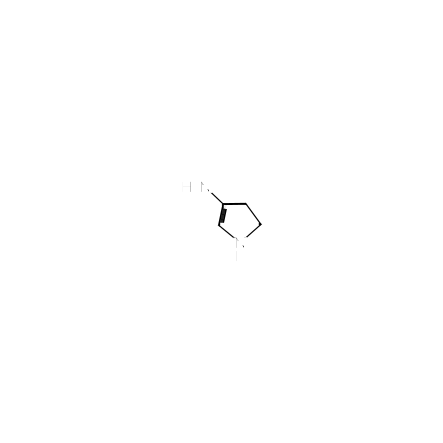 NC1=CNCC1